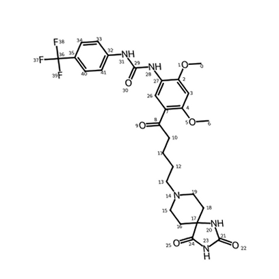 COc1cc(OC)c(C(=O)CCCCN2CCC3(CC2)NC(=O)NC3=O)cc1NC(=O)Nc1ccc(C(F)(F)F)cc1